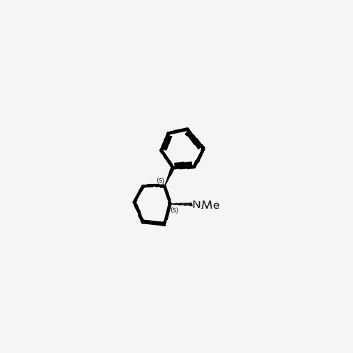 CN[C@H]1CCCC[C@H]1c1ccccc1